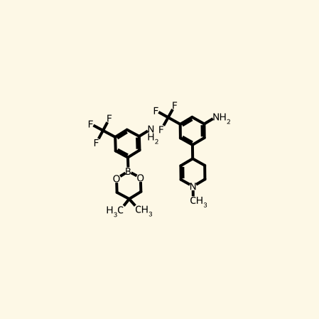 CC1(C)COB(c2cc(N)cc(C(F)(F)F)c2)OC1.CN1C=CC(c2cc(N)cc(C(F)(F)F)c2)CC1